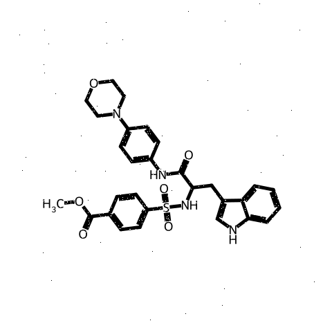 COC(=O)c1ccc(S(=O)(=O)NC(Cc2c[nH]c3ccccc23)C(=O)Nc2ccc(N3CCOCC3)cc2)cc1